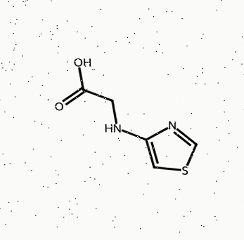 O=C(O)CNc1cscn1